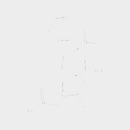 CN(C)C1(c2ccccc2)CCC2(CC1)CC(=O)N(CC(=O)O)C2.Cl